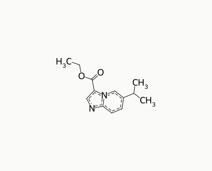 CCOC(=O)c1cnc2ccc(C(C)C)cn12